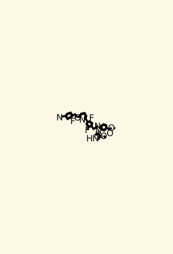 COC(=O)c1ccc2nc(Cc3cc(F)c(-c4cccc(OCc5ccc(C#N)cc5F)n4)cc3F)n([C@@H]3CNC[C@@H]3OC)c2c1